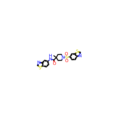 CC1(C(=O)Nc2ccc3scnc3c2)CCN(S(=O)(=O)c2ccc3ncsc3c2)CC1